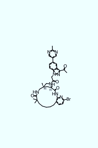 CC(=O)c1nn(CC(=O)N2C[C@@]3(C)CNC(=O)C(C)(C)CCCCCc4ccc(Br)nc4NC(=O)[C@@H]2C3)c2ccc(-c3cnc(C)nc3)cc12